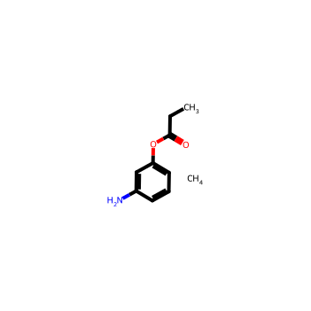 C.CCC(=O)Oc1cccc(N)c1